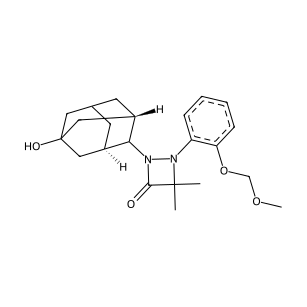 COCOc1ccccc1N1N(C2[C@@H]3CC4C[C@H]2CC(O)(C4)C3)C(=O)C1(C)C